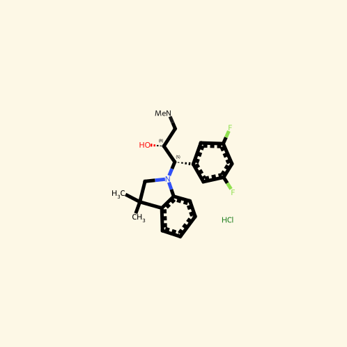 CNC[C@@H](O)[C@H](c1cc(F)cc(F)c1)N1CC(C)(C)c2ccccc21.Cl